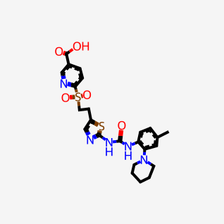 Cc1ccc(NC(=O)Nc2ncc(CCS(=O)(=O)c3ccc(C(=O)O)cn3)s2)c(N2CCCCC2)c1